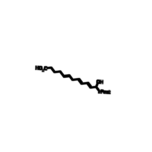 CCCCCC(O)/C=C/C=C/C/C=C/CCCC(=O)O